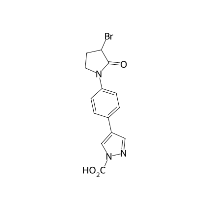 O=C1C(Br)CCN1c1ccc(-c2cnn(C(=O)O)c2)cc1